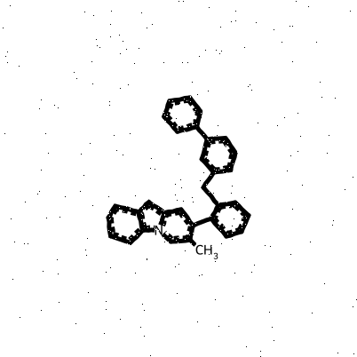 Cc1cn2c(cc1-c1ccccc1Cc1cccc(-c3ccccc3)c1)cc1ccccc12